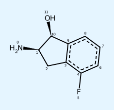 N[C@@H]1Cc2c(F)cccc2[C@@H]1O